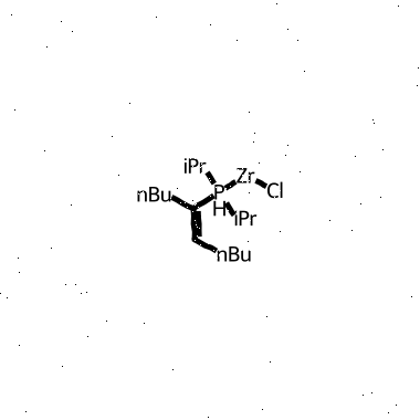 CCCCC=C(CCCC)[PH]([Zr][Cl])(C(C)C)C(C)C